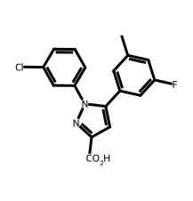 Cc1cc(F)cc(-c2cc(C(=O)O)nn2-c2cccc(Cl)c2)c1